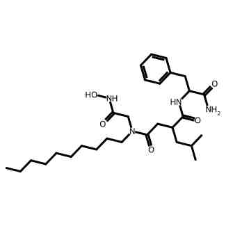 CCCCCCCCCCN(CC(=O)NO)C(=O)CC(CC(C)C)C(=O)NC(Cc1ccccc1)C(N)=O